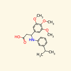 COc1cc(C(CC(=O)O)Nc2cccc(C(C)C)c2)cc(OC)c1OC